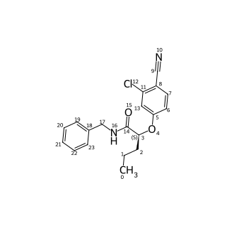 CCC[C@H](Oc1ccc(C#N)c(Cl)c1)C(=O)NCc1ccccc1